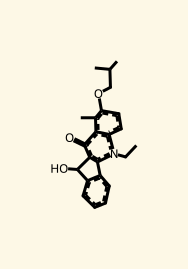 CCn1c2c(c(=O)c3c(C)c(OCC(C)C)ccc31)C(O)c1ccccc1-2